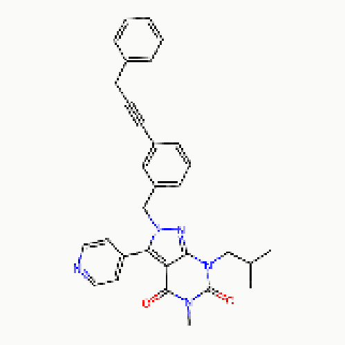 CC(C)Cn1c(=O)n(C)c(=O)c2c(-c3ccncc3)n(Cc3cccc(C#CCc4ccccc4)c3)nc21